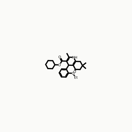 CCOc1ccccc1C1C(C(=O)OC2CCCCC2)=C(C)NC2=C1C(=O)CC(C)(C)C2